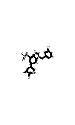 Cc1cc(-c2cc(N[S@+](C)[O-])c3ncn(Cc4cccc(F)c4)c3c2)c[nH]c1=O